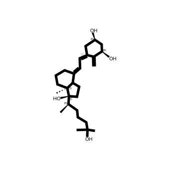 C=C1/C(=C\C=C2CCC[C@@]3(C)C2CC[C@]3(O)[C@H](C)CCCC(C)(C)O)C[C@@H](O)C[C@H]1O